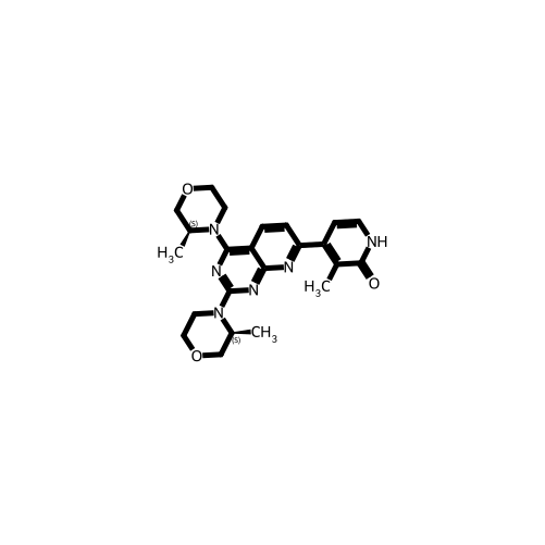 Cc1c(-c2ccc3c(N4CCOC[C@@H]4C)nc(N4CCOC[C@@H]4C)nc3n2)cc[nH]c1=O